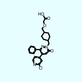 O=C(O)COCC1CCC(Cn2nc(-c3ccccc3)c(-c3ccnc(Cl)c3)cc2=O)CC1